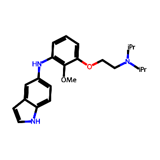 COc1c(Nc2ccc3[nH]ccc3c2)cccc1OCCN(C(C)C)C(C)C